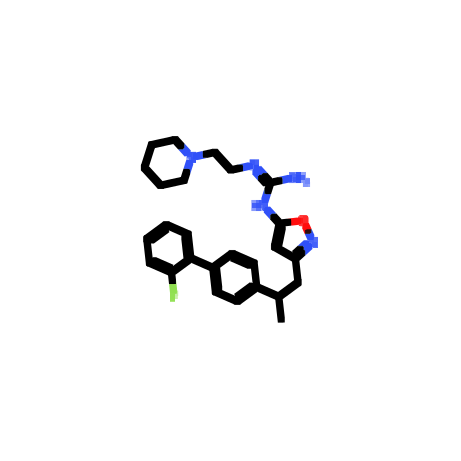 CC(Cc1cc(NC(N)=NCCN2CCCCC2)on1)c1ccc(-c2ccccc2F)cc1